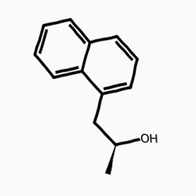 C[C@H](O)Cc1cccc2ccccc12